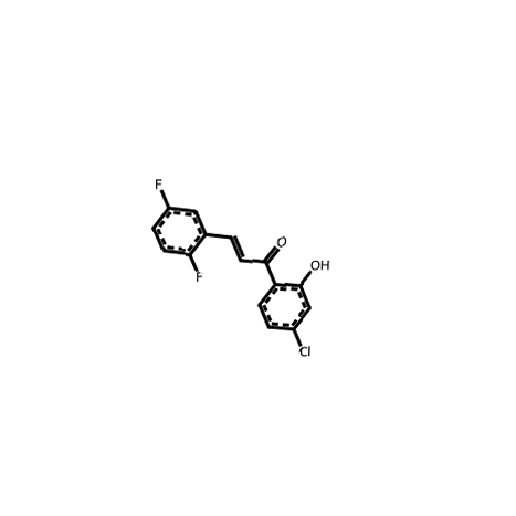 O=C(/C=C/c1cc(F)ccc1F)c1ccc(Cl)cc1O